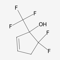 OC1(C(F)(F)F)C=CCC1(F)F